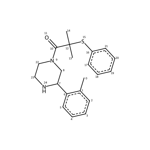 Cc1ccccc1C1CN(C(=O)C(C)(C)Sc2ccccc2)CCN1